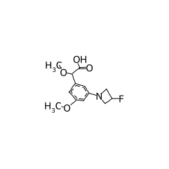 COc1cc(C(OC)C(=O)O)cc(N2CC(F)C2)c1